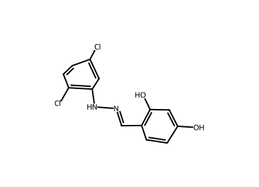 Oc1ccc(/C=N/Nc2cc(Cl)ccc2Cl)c(O)c1